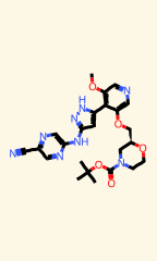 COc1cncc(OC[C@@H]2CN(C(=O)OC(C)(C)C)CCO2)c1-c1cc(Nc2cnc(C#N)cn2)n[nH]1